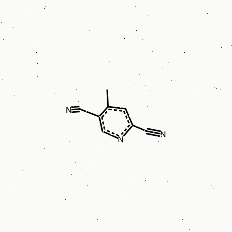 Cc1cc(C#N)ncc1C#N